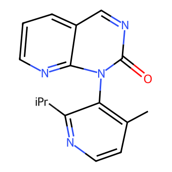 Cc1ccnc(C(C)C)c1-n1c(=O)ncc2cccnc21